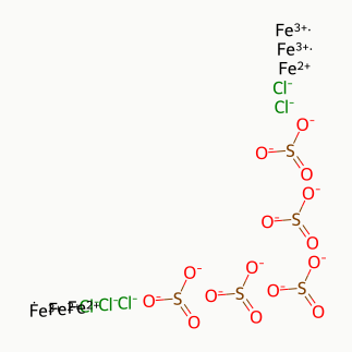 O=S([O-])[O-].O=S([O-])[O-].O=S([O-])[O-].O=S([O-])[O-].O=S([O-])[O-].[Cl-].[Cl-].[Cl-].[Cl-].[Cl-].[Fe+2].[Fe+2].[Fe+2].[Fe+3].[Fe+3].[Fe+3]